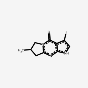 CC1Cc2nc3[nH]cc(I)c3c(=O)n2C1